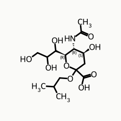 CC(=O)N[C@@H]1[C@@H](O)CC(OCC(C)C)(C(=O)O)O[C@H]1C(O)C(O)CO